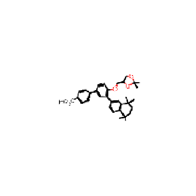 CC1(C)OCC(COc2ccc(-c3ccc(C(=O)O)cc3)cc2-c2ccc3c(c2)C(C)(C)CCC3(C)C)O1